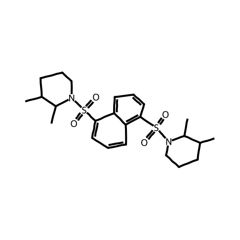 CC1CCCN(S(=O)(=O)c2cccc3c(S(=O)(=O)N4CCCC(C)C4C)cccc23)C1C